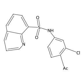 CC(=O)c1ccc(NS(=O)(=O)c2cccc3cccnc23)cc1Cl